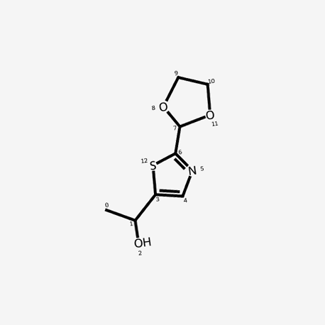 CC(O)c1cnc(C2OCCO2)s1